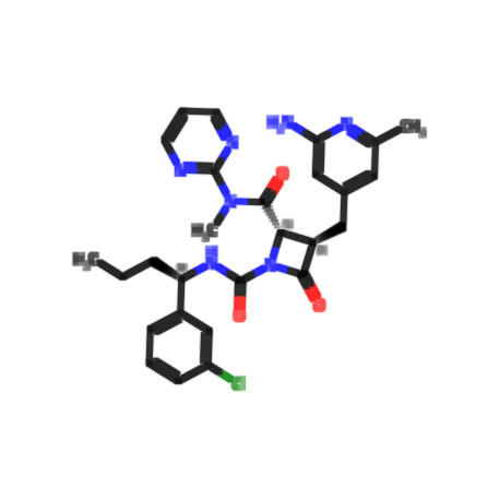 CCC[C@@H](NC(=O)N1C(=O)[C@H](Cc2cc(C)nc(N)c2)[C@H]1C(=O)N(C)c1ncccn1)c1cccc(Cl)c1